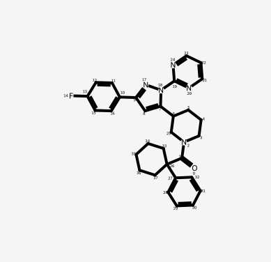 O=C(N1CCCC(c2cc(-c3ccc(F)cc3)nn2-c2ncccn2)C1)C1(c2ccccc2)CCCCC1